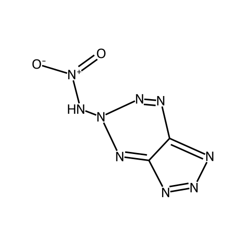 O=[N+]([O-])Nn1nnc2nnnc-2n1